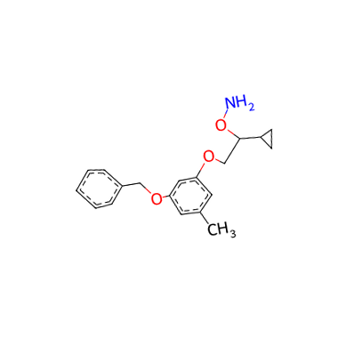 Cc1cc(OCc2ccccc2)cc(OCC(ON)C2CC2)c1